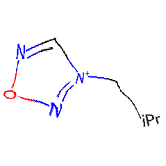 CC(C)C[n+]1cnon1